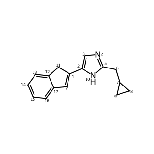 C1=C(c2cnc(CC3CC3)[nH]2)Cc2ccccc21